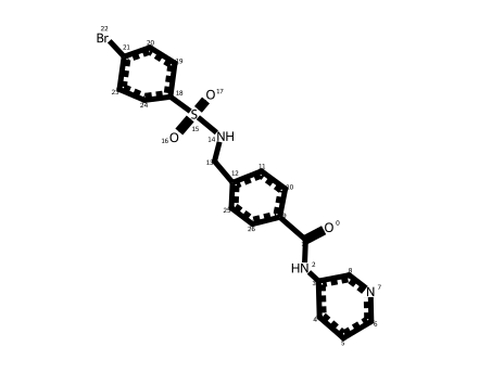 O=C(Nc1cccnc1)c1ccc(CNS(=O)(=O)c2ccc(Br)cc2)cc1